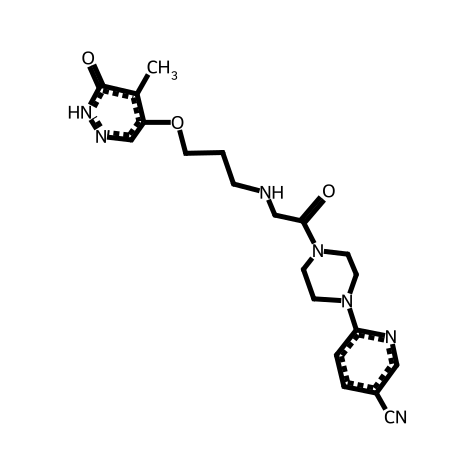 Cc1c(OCCCNCC(=O)N2CCN(c3ccc(C#N)cn3)CC2)cn[nH]c1=O